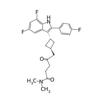 CN(C)C(=O)CCC(=O)C[C@H]1C[C@H](c2c(-c3ccc(F)cc3)[nH]c3c(F)cc(F)cc32)C1